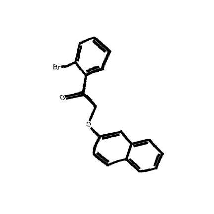 O=C(COc1ccc2ccccc2c1)c1ccccc1Br